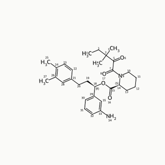 CCC(C)(C)C(=O)C(=O)N1CCCC[C@H]1C(=O)O[C@H](CCc1ccc(C)c(C)c1)c1cccc(N)c1